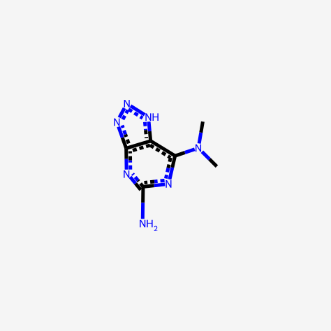 CN(C)c1nc(N)nc2nn[nH]c12